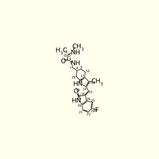 CN[C@@H](C)C(=O)NCC1CCc2c([nH]c(C=C3C(=O)Nc4ccc(F)cc43)c2C)C1